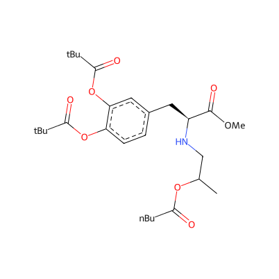 CCCCC(=O)OC(C)CN[C@@H](Cc1ccc(OC(=O)C(C)(C)C)c(OC(=O)C(C)(C)C)c1)C(=O)OC